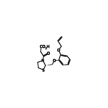 C=CCOc1ccccc1OC[C@@H]1SCCN1C(=O)CC(=O)O